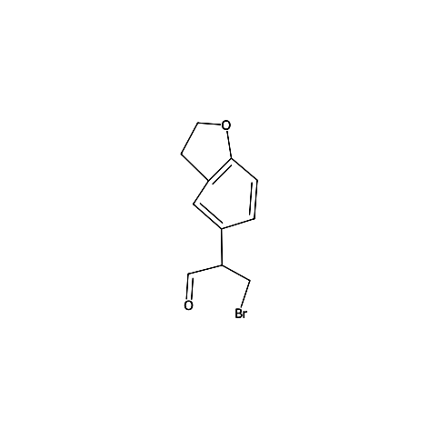 O=CC(CBr)c1ccc2c(c1)CCO2